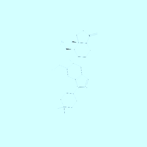 C=C1CC[C@H]2[C@H](CN)[C@@H](C3(C)Cc4cnn(C5CCC(F)(F)CC5)c4CC3CO)CC[C@]12C